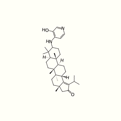 CC(C)C1=C2[C@H]3CC[C@@H]4[C@@]5(C)CCC(Nc6ccncc6O)C(C)(C)[C@@H]5CC[C@@]4(C)[C@]3(C)CC[C@@]2(C)CC1=O